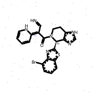 N=C/C(C(=O)N1CCc2[nH]cnc2[C@H]1c1nc2c(Br)cccc2s1)=C1/C=CC=CN1